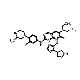 CCN(CC)c1cc2cnc(Nc3ccc(N4CCNC(C)C4)c(F)c3)nc2n(Cc2ncsc2C2CCNC2)c1=O